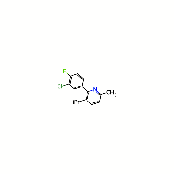 Cc1ccc(C(C)C)c(-c2ccc(F)c(Cl)c2)n1